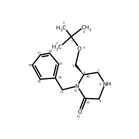 CC(C)(C)OC[C@H]1CNCC(=O)N1Cc1ccccc1